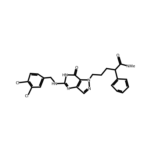 CNC(=O)C(CCCn1ncc2nc(NCc3ccc(Cl)c(Cl)c3)[nH]c(=O)c21)c1ccccc1